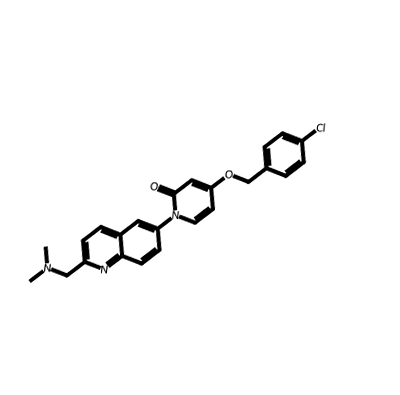 CN(C)Cc1ccc2cc(-n3ccc(OCc4ccc(Cl)cc4)cc3=O)ccc2n1